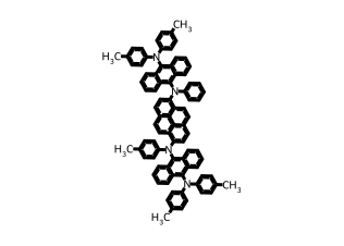 Cc1ccc(N(c2ccc(C)cc2)c2c3ccccc3c(N(c3ccccc3)c3ccc4ccc5c(N(c6ccc(C)cc6)c6c7ccccc7c(N(c7ccc(C)cc7)c7ccc(C)cc7)c7ccccc67)ccc6ccc3c4c65)c3ccccc23)cc1